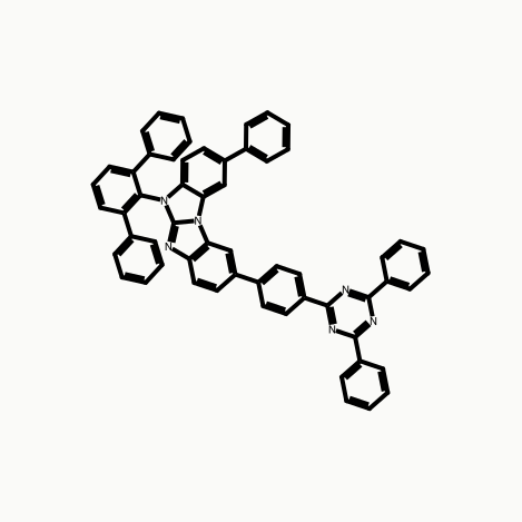 c1ccc(-c2ccc3c(c2)n2c4cc(-c5ccc(-c6nc(-c7ccccc7)nc(-c7ccccc7)n6)cc5)ccc4nc2n3-c2c(-c3ccccc3)cccc2-c2ccccc2)cc1